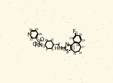 O=S(=O)(N[C@H]1CC[C@H](CNc2nc3c(s2)CCCc2ccc(F)cc2-3)CC1)c1cccnc1